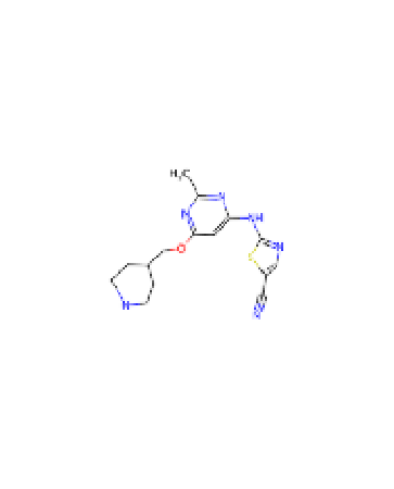 Cc1nc(Nc2ncc(C#N)s2)cc(OCC2CC[N]CC2)n1